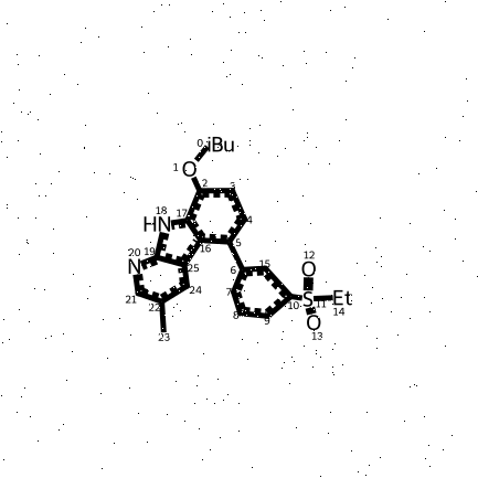 CCC(C)Oc1ccc(-c2cccc(S(=O)(=O)CC)c2)c2c1[nH]c1ncc(C)cc12